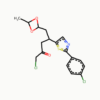 CC1OC(CC(CC(=O)CCl)c2cnc(-c3ccc(Cl)cc3)s2)O1